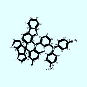 Cc1cc(C)c2c(c1)C1(c3ccsc3-c3sccc31)c1ccc3c(sc4ccccc43)c1N2c1cccc(N(c2ccc(C(C)C)cc2)c2ccc(C(C)C)cc2)c1